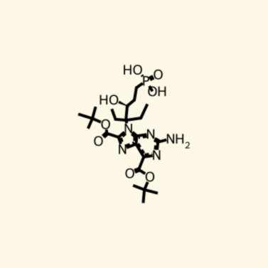 CCC(CC)([C@@H](O)CCP(=O)(O)O)n1c(C(=O)OC(C)(C)C)nc2c(C(=O)OC(C)(C)C)nc(N)nc21